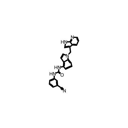 N#Cc1cccc(NC(=O)Nc2cccc3c2ccn3Cc2c[nH]c3ncccc23)c1